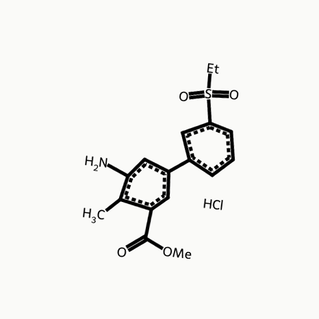 CCS(=O)(=O)c1cccc(-c2cc(N)c(C)c(C(=O)OC)c2)c1.Cl